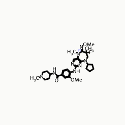 CO/N=C1/N(C)c2cnc(Nc3ccc(C(=O)NC4CCN(C)CC4)cc3OC)nc2N(C2CCCC2)CC1(C)F